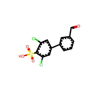 O=Cc1cccc(-c2cc(Cl)c(S(=O)(=O)O)c(Cl)c2)c1